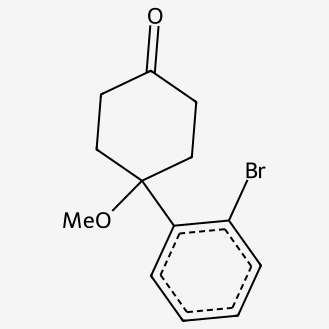 COC1(c2ccccc2Br)CCC(=O)CC1